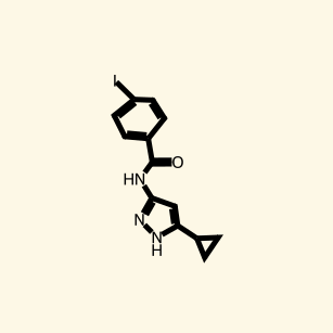 O=C(Nc1cc(C2CC2)[nH]n1)c1ccc(I)cc1